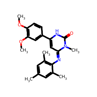 COc1ccc(-c2cc(=Nc3c(C)cc(C)cc3C)n(C)c(=O)[nH]2)cc1OC